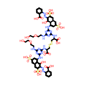 O=C(O)c1ccccc1/N=N/C1=C(O)C2C(Nc3nc(NCCOCCO)nc(NC(CSSCC(Nc4nc(NCCOCCO)nc(Nc5cc(S(=O)(=O)O)cc6cc(S(=O)(=O)O)c(/N=N/c7ccccc7C(=O)O)c(O)c56)n4)C(=O)O)C(=O)O)n3)=CC(S(=O)(=O)O)=CC2C=C1S(=O)(=O)O